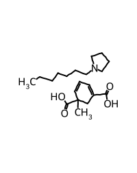 CC1(C(=O)O)C=CC=C(C(=O)O)C1.CCCCCCCN1CCCC1